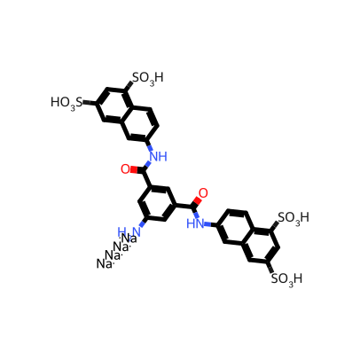 Nc1cc(C(=O)Nc2ccc3c(S(=O)(=O)O)cc(S(=O)(=O)O)cc3c2)cc(C(=O)Nc2ccc3c(S(=O)(=O)O)cc(S(=O)(=O)O)cc3c2)c1.[Na].[Na].[Na].[Na]